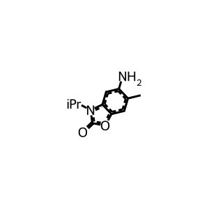 Cc1cc2oc(=O)n(C(C)C)c2cc1N